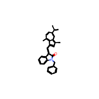 Cc1cc(C=C2C(=O)N(Cc3ccccc3)c3ccccc32)c2c(C)ccc(C(C)C)cc1-2